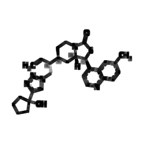 C=C[C@@H](Cn1cc(C2(O)CCCC2)nn1)[C@H]1CCN2C(=O)S[C@@H](c3ccnc4ccc(C)cc34)[C@@H]2C1